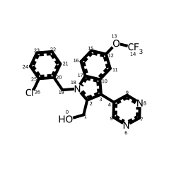 OCc1c(-c2cncnc2)c2cc(OC(F)(F)F)ccc2n1Cc1ccccc1Cl